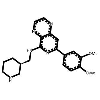 COc1ccc(-c2cc3nccnc3c(NC[C@@H]3CCCNC3)n2)cc1OC